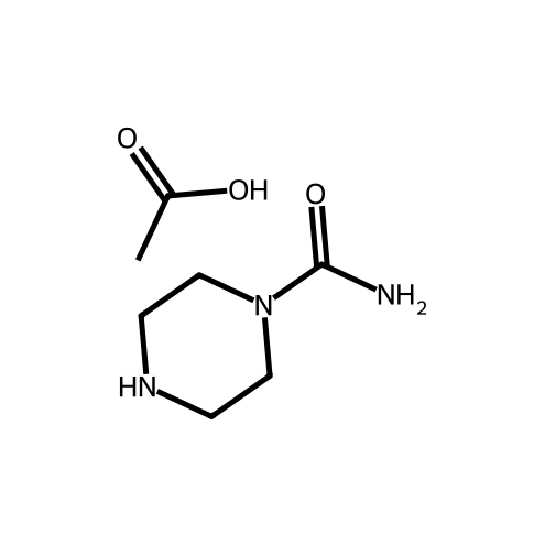 CC(=O)O.NC(=O)N1CCNCC1